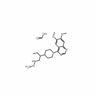 CCC(CNSN)C1CCN(c2ncnc3cc(OC)c(OC)cc23)CC1.O=CO